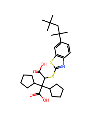 CC(C)(C)CC(C)(C)c1ccc2nc(SC(C(=O)O)C(C(=O)O)(C3CCCC3)C3CCCC3)sc2c1